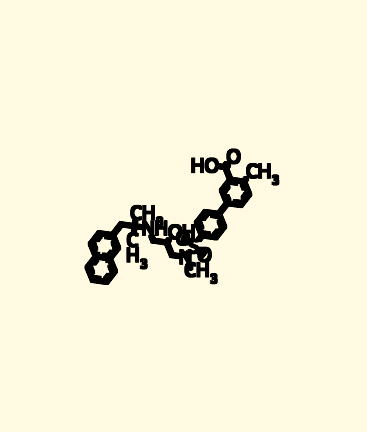 Cc1ccc(-c2ccc(S(=O)(=O)N(C)CC(O)CNC(C)(C)Cc3ccc4ccccc4c3)cc2)cc1C(=O)O